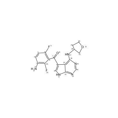 Nc1ccc(F)c(C(=O)c2c[nH]c3ncnc(NC4CCOC4)c23)c1F